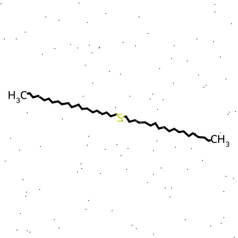 CCCCCCCCCCCCCCCCCCCCSCCCCCCCCCCCCCCCCCCC